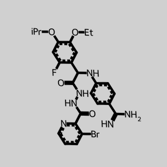 CCOc1cc(C(Nc2ccc(C(=N)N)cc2)C(=O)NNC(=O)c2ncccc2Br)c(F)cc1OC(C)C